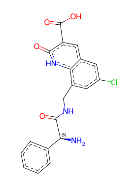 N[C@H](C(=O)NCc1cc(Cl)cc2cc(C(=O)O)c(=O)[nH]c12)c1ccccc1